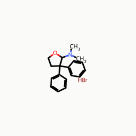 Br.CN(C)C1OCCC1(c1ccccc1)c1ccccc1